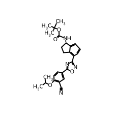 CC(C)Oc1ccc(-c2nc(-c3cccc4c3CC[C@H]4NC(=O)OC(C)(C)C)no2)cc1C#N